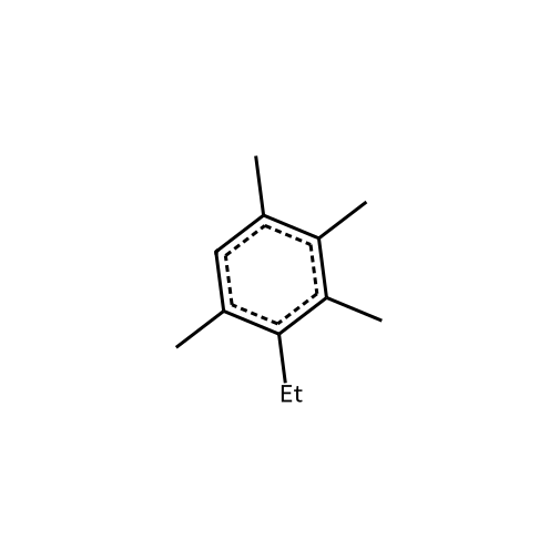 CCc1c(C)cc(C)c(C)c1C